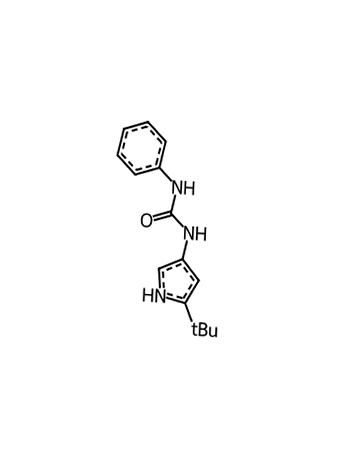 CC(C)(C)c1cc(NC(=O)Nc2ccccc2)c[nH]1